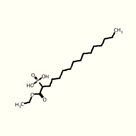 CCCCCCCCCCCCCCC(C(=O)OCC)P(=O)(O)O